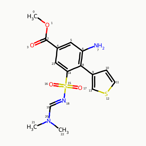 COC(=O)c1cc(N)c(-c2ccsc2)c(S(=O)(=O)/N=C/N(C)C)c1